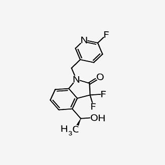 C[C@H](O)c1cccc2c1C(F)(F)C(=O)N2Cc1ccc(F)nc1